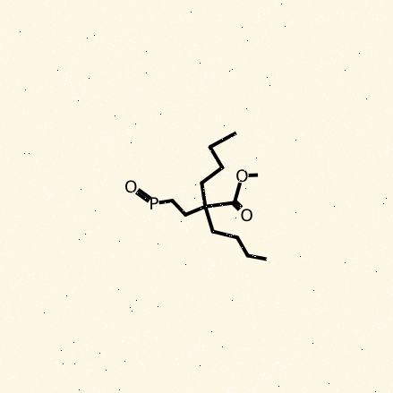 CCCCC(CCCC)(CCP=O)C(=O)OC